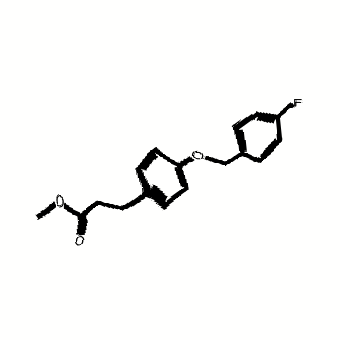 COC(=O)CCc1ccc(OCc2ccc(F)cc2)cc1